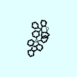 c1ccc(C2(c3cccc([Si](c4ccccc4)(c4ccccc4)c4cccc5c4sc4ccccc45)c3)c3ccccc3Oc3ccccc32)cc1